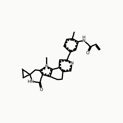 C=CC(=O)Nc1cc(-c2cc3c(cn2)CCc2c4c(n(C)c2-3)CC2(CC2)NC4=O)ccc1C